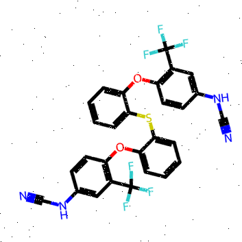 N#CNc1ccc(Oc2ccccc2Sc2ccccc2Oc2ccc(NC#N)cc2C(F)(F)F)c(C(F)(F)F)c1